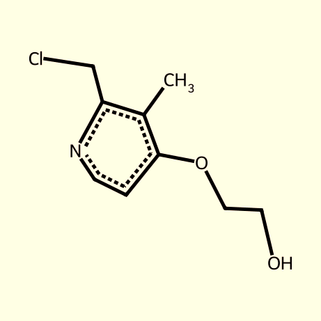 Cc1c(OCCO)ccnc1CCl